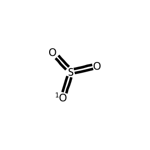 O=S(=O)=[1O]